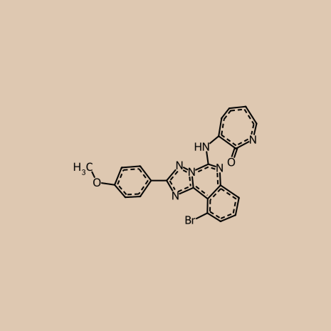 COc1ccc(-c2nc3c4c(Br)cccc4nc(Nc4ccccnc4=O)n3n2)cc1